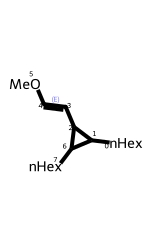 CCCCCCC1C(/C=C/OC)C1CCCCCC